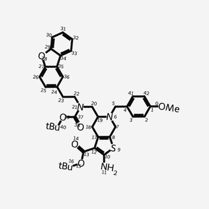 COc1ccc(CN2Cc3sc(N)c(C(=O)OC(C)(C)C)c3CC2CN(CCc2ccc3oc4ccccc4c3c2)C(=O)OC(C)(C)C)cc1